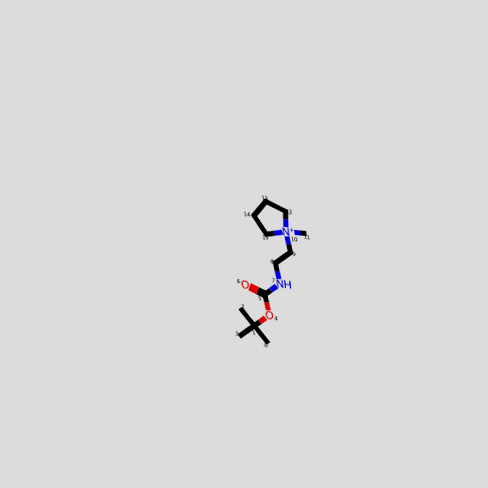 CC(C)(C)OC(=O)NCC[N+]1(C)CCCC1